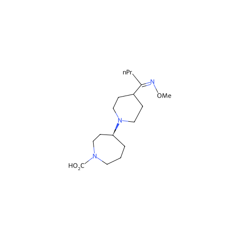 CCC/C(=N/OC)C1CCN([C@H]2CCCN(C(=O)O)CC2)CC1